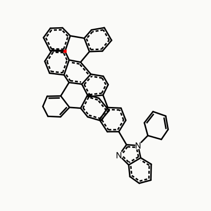 C1=CCC(n2c(-c3ccc(-c4ccc5c(-c6ccccc6-c6ccccc6)c6ccccc6c(C6=CCCC=C6c6ccccc6)c5c4)cc3)nc3ccccc32)C=C1